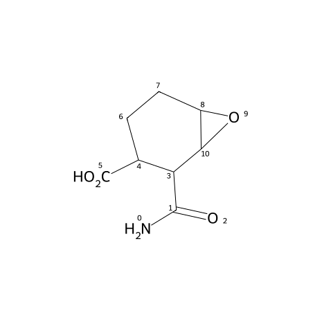 NC(=O)C1C(C(=O)O)CCC2OC21